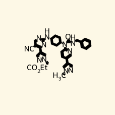 CCOC(=O)Cn1cc(-c2nc(N[C@H]3CC[C@H](N(C(=O)NCc4ccccc4)c4ccc(-c5cnn(C)c5)cn4)CC3)ncc2C#N)cn1